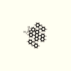 CC1(C)c2ccccc2-c2c(-c3c4cc(N5c6ccccc6Sc6ccccc65)ccc4c(-c4cccc5ccccc45)c4cc(N5c6ccccc6Sc6ccccc65)ccc34)cccc21